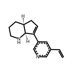 C=Cc1cncc(C2=CC[C@@H]3CCCN[C@H]23)c1